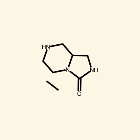 CC.O=C1NCC2CNCCN12